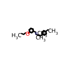 CCCCOc1cccc(/C=C/C(C)(C)Cc2ccc(CC)cc2)c1